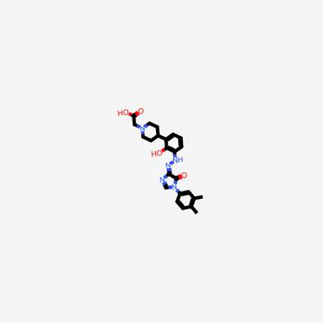 Cc1ccc(N2C=N/C(=N/Nc3cccc(C4CCN(CC(=O)O)CC4)c3O)C2=O)cc1C